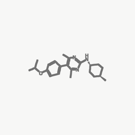 Cc1nc(N[C@H]2CC[C@H](C)CC2)nc(C)c1-c1ccc(OC(C)C)cc1